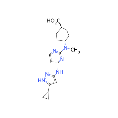 CN(c1nccc(Nc2cc(C3CC3)[nH]n2)n1)[C@H]1CC[C@H](C(=O)O)CC1